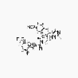 Cc1ncc(C(Cc2ccc(C#N)cc2)N2CCN(C(=O)NCc3cc(C(F)(F)F)ccc3F)CC2)[nH]1